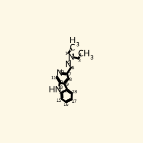 CCN(CC)/N=C/c1cc2c(cn1)[nH]c1ccccc12